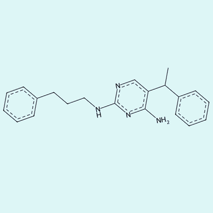 CC(c1ccccc1)c1cnc(NCCCc2ccccc2)nc1N